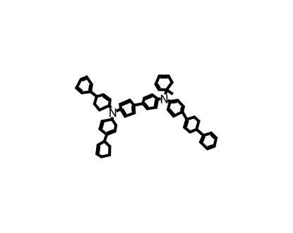 CC1(N(c2ccc(C3=CCC(c4ccccc4)CC3)cc2)c2ccc(-c3ccc(N(C4C=CC(C5C=CCCC5)=CC4)C4C=CC(c5ccccc5)CC4)cc3)cc2)C=CC=CC1